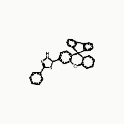 c1ccc(C2=NNC(c3ccc4c(c3)Oc3ccccc3C43c4ccccc4-c4ccccc43)S2)cc1